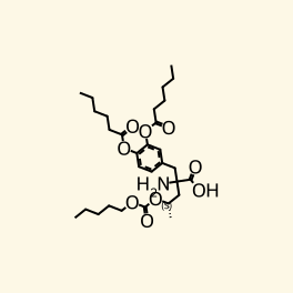 CCCCCOC(=O)O[C@@H](C)CC(N)(Cc1ccc(OC(=O)CCCCC)c(OC(=O)CCCCC)c1)C(=O)O